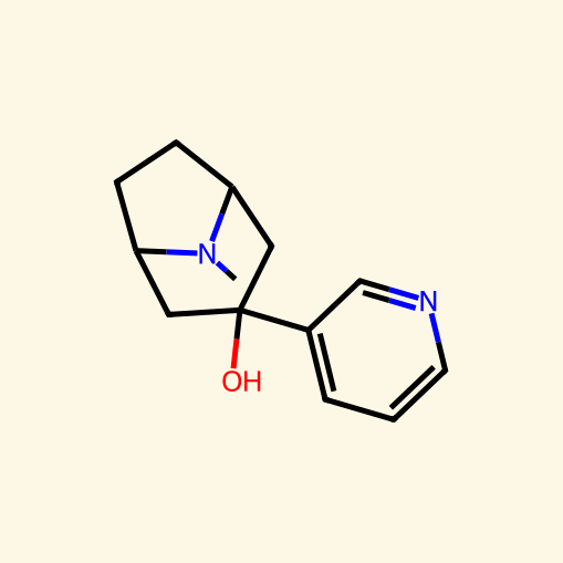 CN1C2CCC1CC(O)(c1cccnc1)C2